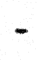 CC1C[C@@]2(C)C(CC[C@@H]3[C@H]2CC[C@@]2(C)[C@H]3CCC2(O)C(F)(F)C(F)(F)F)CC1=O